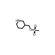 CS(=O)(=O)OCC1CCCNC1